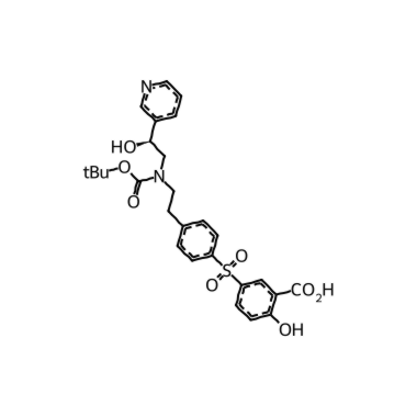 CC(C)(C)OC(=O)N(CCc1ccc(S(=O)(=O)c2ccc(O)c(C(=O)O)c2)cc1)C[C@@H](O)c1cccnc1